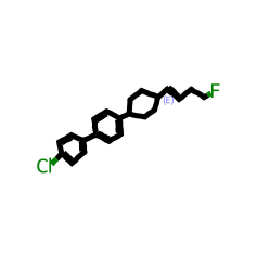 FCC/C=C/C1CCC(c2ccc(-c3ccc(Cl)cc3)cc2)CC1